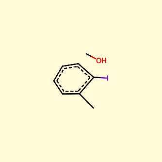 CO.Cc1ccccc1I